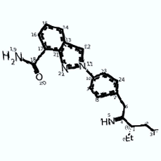 CC[C@@H](CF)C(=N)Cc1ccc(-n2cc3cccc(C(N)=O)c3n2)cc1